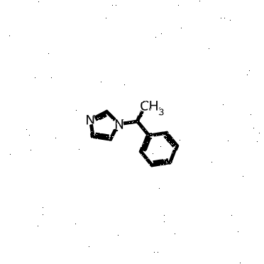 CC(c1ccccc1)n1ccnc1